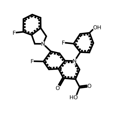 O=C(O)c1cn(-c2ccc(O)cc2F)c2cc(N3Cc4cccc(F)c4C3)c(F)cc2c1=O